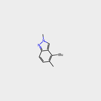 Cc1ccc2nn(C)cc2c1C(C)(C)C